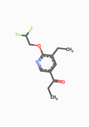 CCC(=O)c1cnc(OCC(F)F)c(CC)c1